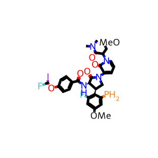 COCC(C(=O)N(C)C)n1cccc(N2C[C@@H](c3c(F)cc(OC)cc3P)[C@H](NC(=O)c3ccc(OC(F)I)cc3)C2=O)c1=O